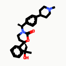 C[C@@H](c1ccc(C2CCN(C)CC2)cc1)N1CC[C@](CC(C)(C)O)(c2ccccc2)OC1=O